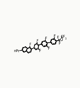 CCCc1ccc2c(F)c(-c3cc(F)c(-c4cc(F)c(-c5ccc(C(F)(F)OC(F)(F)F)c(F)c5)c(F)c4)c(F)c3)ccc2c1